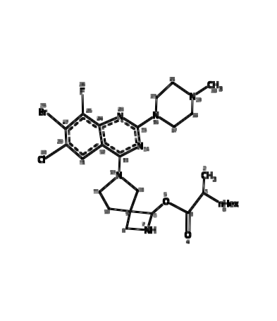 CCCCCCC(C)C(=O)OC1NCC12CCN(c1nc(N3CCN(C)CC3)nc3c(F)c(Br)c(Cl)cc13)C2